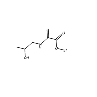 C=C(NCC(C)O)C(=O)OCC